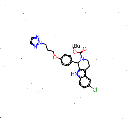 CC(C)(C)OC(=O)N1CCc2c([nH]c3ccc(Cl)cc23)C1c1ccc(OCCCn2nccn2)cc1